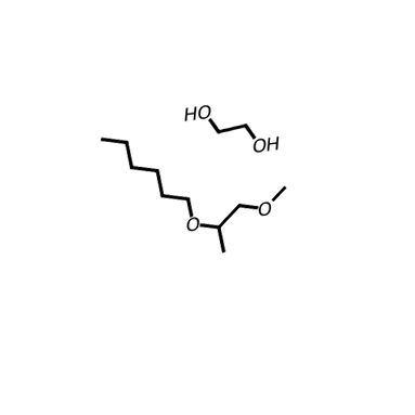 CCCCCCOC(C)COC.OCCO